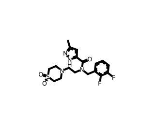 Cc1cc(C(=O)N(CCN2CCS(=O)(=O)CC2)Cc2cccc(F)c2F)[nH]n1